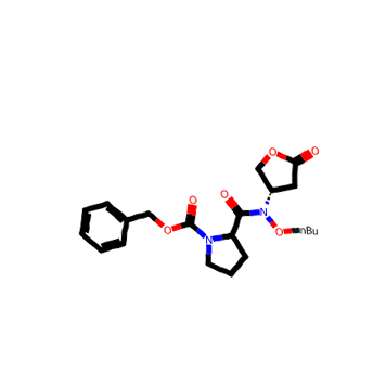 CCCCON(C(=O)C1CCCN1C(=O)OCc1ccccc1)[C@@H]1COC(=O)C1